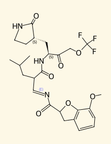 COc1cccc2c1OC(C(=O)/N=C/C(CC(C)C)C(=O)N[C@@H](C[C@@H]1CCNC1=O)C(=O)COC(F)(F)F)C2